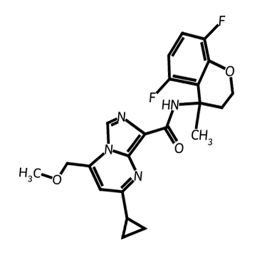 COCc1cc(C2CC2)nc2c(C(=O)NC3(C)CCOc4c(F)ccc(F)c43)ncn12